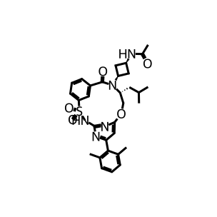 CC(=O)N[C@H]1C[C@@H](N2C(=O)c3cccc(c3)S(=O)(=O)Nc3nc(cc(-c4c(C)cccc4C)n3)OC[C@H]2CC(C)C)C1